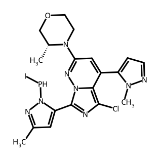 Cc1cc(-c2nc(Cl)c3c(-c4ccnn4C)cc(N4CCOC[C@H]4C)nn23)n(PI)n1